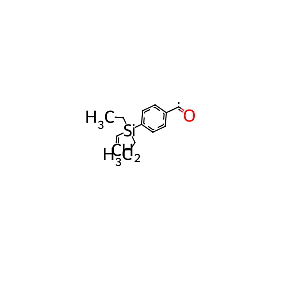 C=C[Si](CC)(CC)c1ccc([C]=O)cc1